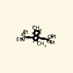 CCOC(C#Cc1cc(C)c(C#CC(OCC)OCC)c2ccc(C)cc12)OCC